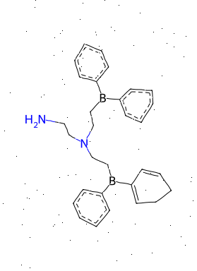 NCCN(CCB(C1=CCCC=C1)c1ccccc1)CCB(c1ccccc1)c1ccccc1